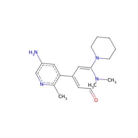 Cc1ncc(N)cc1C(=C/C=O)/C=C(\N(C)C)N1CCCCC1